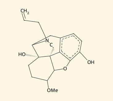 C=CCN1CC[C@]23c4c5ccc(O)c4OC2C(OC)CC[C@@]3(O)C1C5